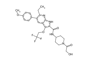 CCc1nc2[nH]c(C(=O)NC3CCN(C(=O)CO)CC3)c(OCC(F)(F)F)c2cc1-c1ccc(OC)cc1